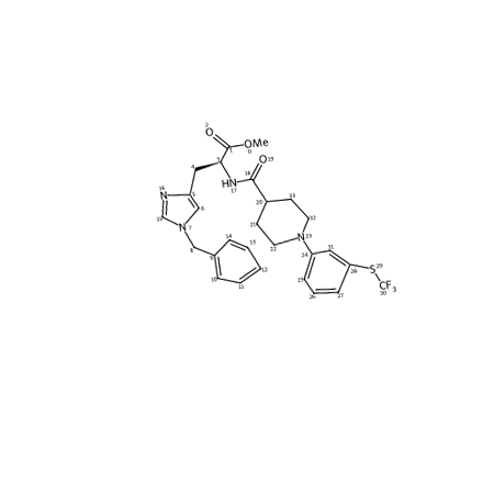 COC(=O)[C@H](Cc1cn(Cc2ccccc2)cn1)NC(=O)C1CCN(c2cccc(SC(F)(F)F)c2)CC1